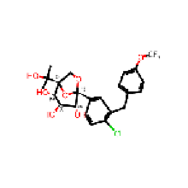 CC(C)(O)[C@@]12CO[C@@](c3ccc(Cl)c(Cc4ccc(OC(F)(F)F)cc4)c3)(O1)[C@H](O)[C@@H](O)[C@@H]2O